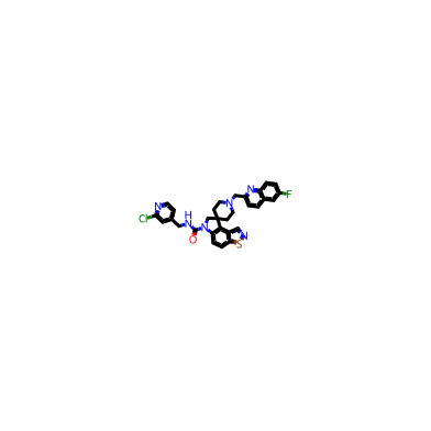 O=C(NCc1ccnc(Cl)c1)N1CC2(CCN(Cc3ccc4cc(F)ccc4n3)CC2)c2c1ccc1sncc21